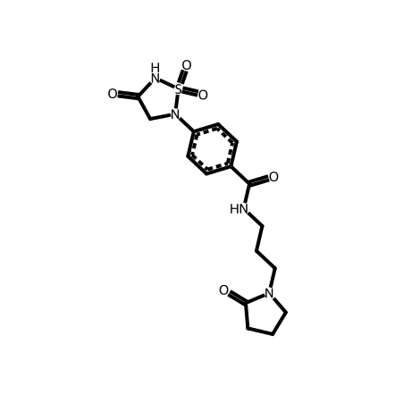 O=C1CN(c2ccc(C(=O)NCCCN3CCCC3=O)cc2)S(=O)(=O)N1